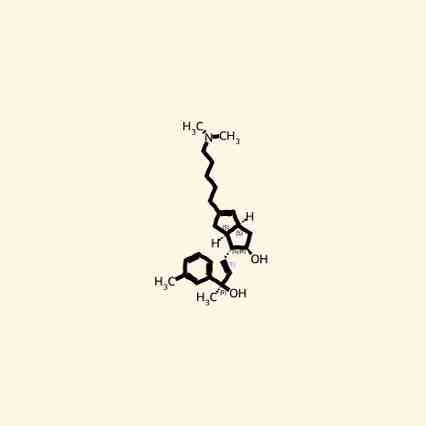 Cc1cccc([C@](C)(O)/C=C/[C@@H]2[C@H]3CC(CCCCCN(C)C)=C[C@H]3C[C@H]2O)c1